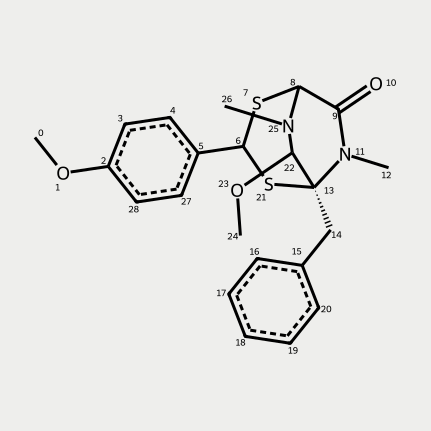 COc1ccc(C2SC3C(=O)N(C)[C@@](Cc4ccccc4)(S2)C(OC)N3C)cc1